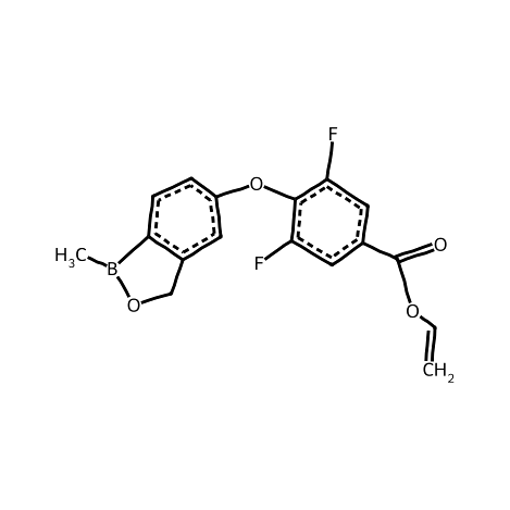 C=COC(=O)c1cc(F)c(Oc2ccc3c(c2)COB3C)c(F)c1